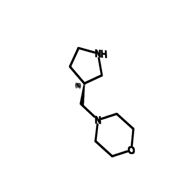 C1C[C@H](CN2CCOCC2)CN1